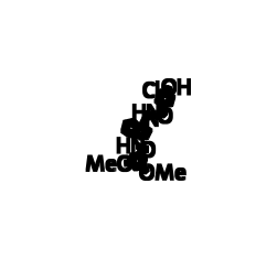 COc1cc(OC)cc(C(=O)Nc2ccc(/C=N/NC(=O)c3ccc(O)c(Cl)c3)c3ccccc23)c1